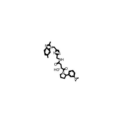 Cc1ccc2nc(C)n(Cc3csc(CNC(=O)C[C@@H](O)C(=O)N4CCCC4c4cccc(N(C)C)c4)n3)c2c1